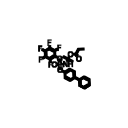 CCC(=O)OC(C)(C)N[P@](=O)(Oc1ccc(-c2ccccc2)cc1)Oc1c(F)c(F)c(F)c(F)c1F